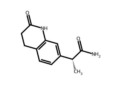 C[C@@H](C(N)=O)c1ccc2c(c1)NC(=O)CC2